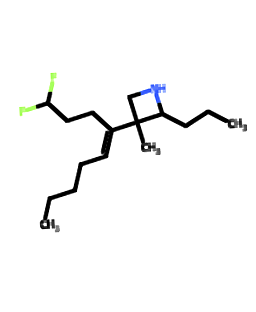 CCCC/C=C(\CCC(F)F)C1(C)CNC1CCC